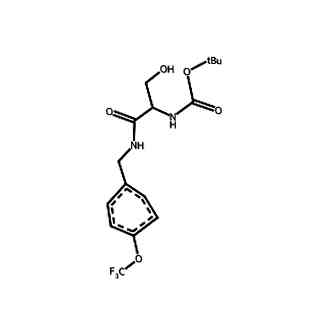 CC(C)(C)OC(=O)NC(CO)C(=O)NCc1ccc(OC(F)(F)F)cc1